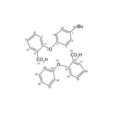 CC(C)(C)c1ccc(Oc2ccccc2C(=O)O)cc1.O=C(O)c1ccccc1Oc1ccccc1